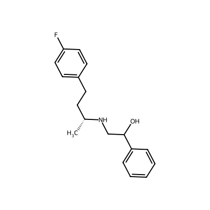 C[C@H](CCc1ccc(F)cc1)NCC(O)c1ccccc1